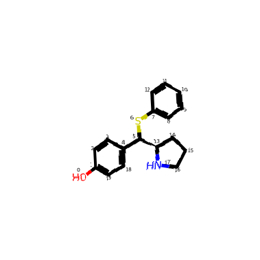 Oc1ccc(C(Sc2ccccc2)[C@H]2CCCN2)cc1